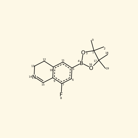 CC1(C)OB(c2cc(F)c3c(c2)CCN=C3)OC1(C)C